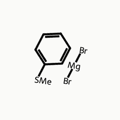 CSc1ccccc1.[Br][Mg][Br]